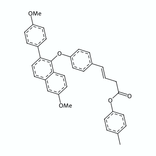 COc1ccc(-c2ccc3cc(OC)ccc3c2Oc2ccc(C=CCC(=O)Oc3ccc(C)cc3)cc2)cc1